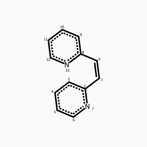 C(=C/c1ccccn1)/c1ccccn1